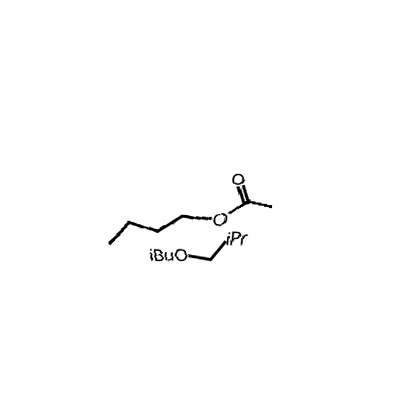 CC(C)COCC(C)C.CCCCOC(C)=O